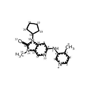 Cc1ccncc1Nc1cc2c(cn1)n(C)c(=O)n2C1CCCC1